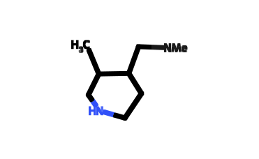 CNCC1CCNCC1C